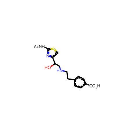 CC(=O)Nc1nc(C(O)CNCCc2ccc(C(=O)O)cc2)cs1